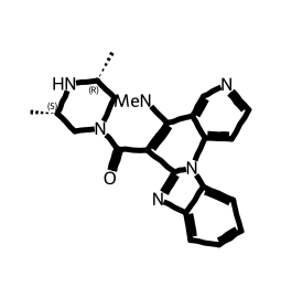 CNc1c(C(=O)N2C[C@@H](C)N[C@@H](C)C2)c2nc3ccccc3n2c2ccncc12